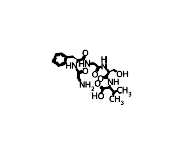 CC(C)[C@H](NC(=O)[C@H](CO)NC(=O)CNC(=O)[C@H](Cc1ccccc1)NC(=O)CN)C(=O)O